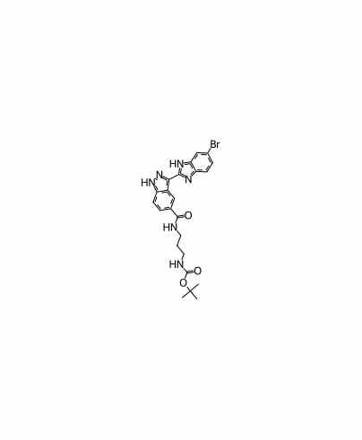 CC(C)(C)OC(=O)NCCCNC(=O)c1ccc2[nH]nc(-c3nc4ccc(Br)cc4[nH]3)c2c1